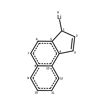 [Li][CH]1C=Cc2c1ccc1ccccc21